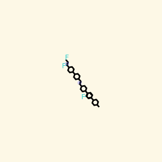 CC1CCC(c2ccc(C3CCC(/C=C/C4CCC(C5CCC(/C(F)=C/CF)CC5)CC4)CC3)c(F)c2)CC1